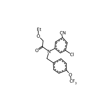 CCOCC(=O)N(Cc1ccc(OC(F)(F)F)cc1)c1cc(Cl)cc(C#N)c1